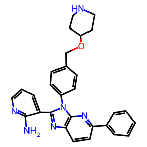 Nc1ncccc1-c1nc2ccc(-c3ccccc3)nc2n1-c1ccc(COC2CCNCC2)cc1